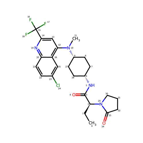 CC[C@@H](C(=O)N[C@H]1CC[C@@H](N(C)c2cc(C(F)(F)F)nc3ccc(Cl)cc23)CC1)N1CCCC1=O